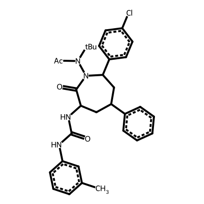 CC(=O)N(N1C(=O)C(NC(=O)Nc2cccc(C)c2)CC(c2ccccc2)CC1c1ccc(Cl)cc1)C(C)(C)C